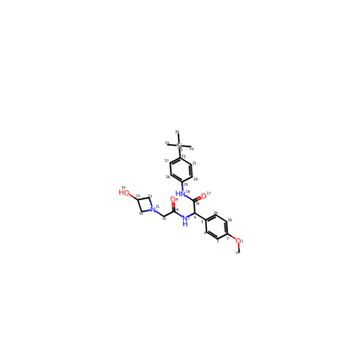 COc1ccc(C(NC(=O)CN2CC(O)C2)C(=O)Nc2ccc([Si](C)(C)C)cc2)cc1